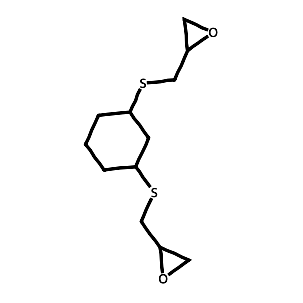 C1CC(SCC2CO2)CC(SCC2CO2)C1